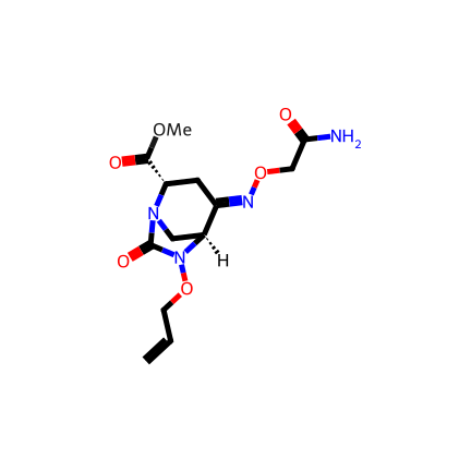 C=CCON1C(=O)N2C[C@H]1C(=NOCC(N)=O)C[C@H]2C(=O)OC